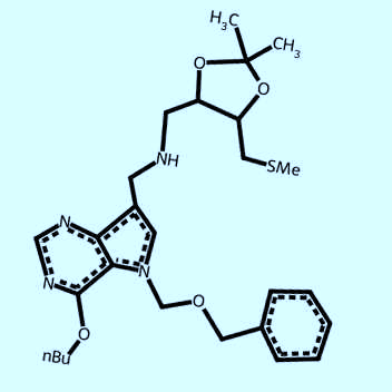 CCCCOc1ncnc2c(CNCC3OC(C)(C)OC3CSC)cn(COCc3ccccc3)c12